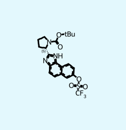 CC(C)(C)OC(=O)N1CCC[C@H]1c1nc2ccc3cc(OS(=O)(=O)C(F)(F)F)ccc3c2[nH]1